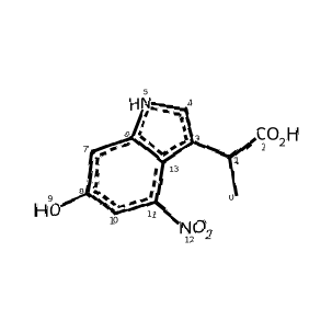 CC(C(=O)O)c1c[nH]c2cc(O)cc([N+](=O)[O-])c12